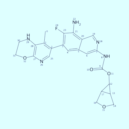 Cc1c(-c2cc3cc(NC(=O)OC4C5COCC54)ncc3c(N)c2F)cnc2c1NCCO2